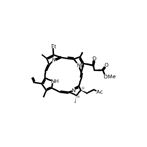 C=Cc1c(C)c2cc3nc(cc4[nH]c(cc5nc(cc1[nH]2)C(C)=C5CC)c(C)c4C(=O)CC(=O)OC)[C@@H](CCC(C)=O)[C@@H]3C